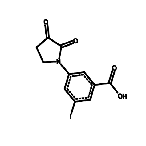 O=C1CCN(c2cc(I)cc(C(=O)O)c2)C1=O